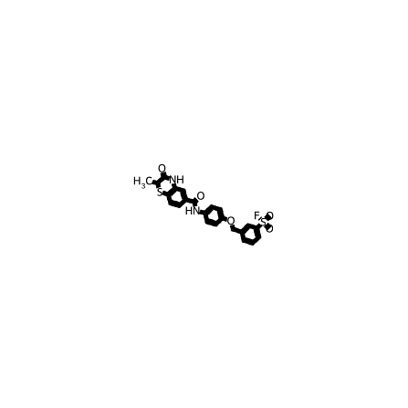 CC1Sc2ccc(C(=O)Nc3ccc(OCc4cccc(S(=O)(=O)F)c4)cc3)cc2NC1=O